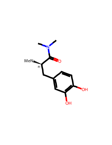 CN[C@H](Cc1ccc(O)c(O)c1)C(=O)N(C)C